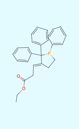 CCOC(=O)CC=C1CCP(c2ccccc2)C1(c1ccccc1)c1ccccc1